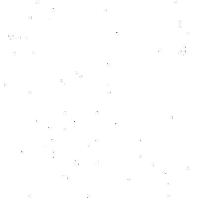 CCN(CC)C(=O)/C=C/c1ccc(C2c3ccc(OC)cc3CCC2c2ccc(OC)cc2)cc1